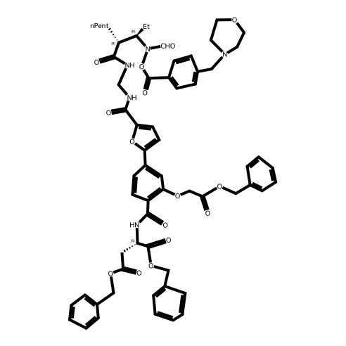 CCCCC[C@@H](C(=O)NCNC(=O)c1ccc(-c2ccc(C(=O)N[C@@H](CC(=O)OCc3ccccc3)C(=O)OCc3ccccc3)c(OCC(=O)OCc3ccccc3)c2)o1)[C@@H](CC)N(C=O)OC(=O)c1ccc(CN2CCOCC2)cc1